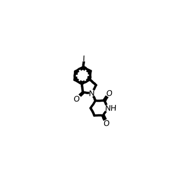 O=C1CCC(N2Cc3cc(I)ccc3C2=O)C(=O)N1